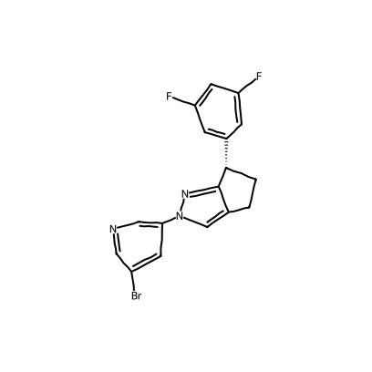 Fc1cc(F)cc([C@@H]2CCc3cn(-c4cncc(Br)c4)nc32)c1